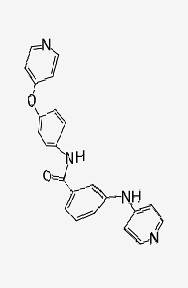 O=C(Nc1ccc(Oc2ccncc2)cc1)c1cccc(Nc2ccncc2)c1